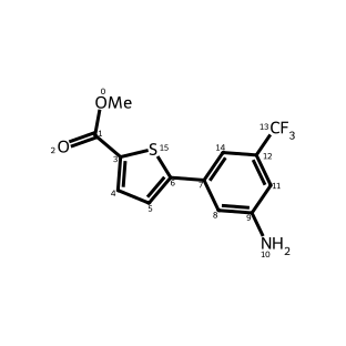 COC(=O)c1ccc(-c2cc(N)cc(C(F)(F)F)c2)s1